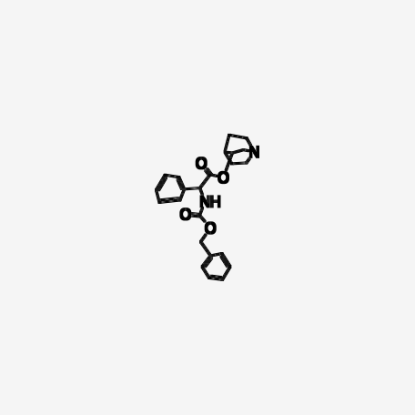 O=C(NC(C(=O)OC1CN2CCC1CC2)c1ccccc1)OCc1ccccc1